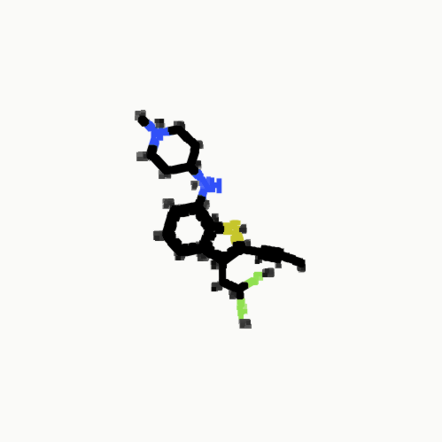 CC#Cc1sc2c(NC3CCN(C)CC3)cccc2c1CC(F)F